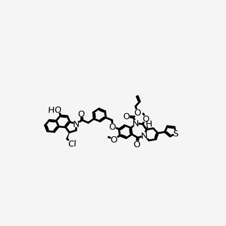 C=CCOC(=O)N1c2cc(OCc3cccc(CC(=O)N4C[C@@H](CCl)c5c4cc(O)c4ccccc54)c3)c(OC)cc2C(=O)N2CC=C(c3ccsc3)C[C@H]2C1OC